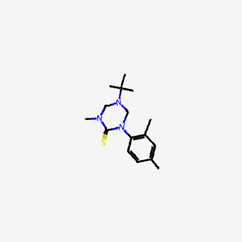 Cc1ccc(N2CN(C(C)(C)C)CN(C)C2=S)c(C)c1